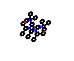 c1ccc(-c2cc(-c3ccccc3)cc(N3c4cc(-n5c(-c6ccccc6)c(-c6ccccc6)c6ccccc65)ccc4B4c5ccc(-n6c(-c7ccccc7)c(-c7ccccc7)c7ccccc76)cc5N(c5cc(-c6ccccc6)cc(-c6ccccc6)c5)c5cc(-c6ccccc6)cc3c54)c2)cc1